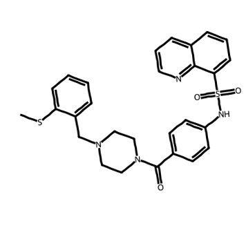 CSc1ccccc1CN1CCN(C(=O)c2ccc(NS(=O)(=O)c3cccc4cccnc34)cc2)CC1